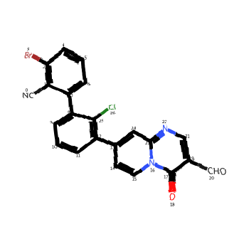 N#Cc1c(Br)cccc1-c1cccc(-c2ccn3c(=O)c(C=O)cnc3c2)c1Cl